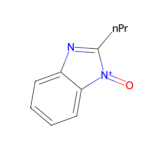 [CH2]CCC1=Nc2ccccc2[N+]1=O